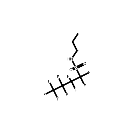 CC[CH]NS(=O)(=O)C(F)(F)C(F)(F)C(F)(F)C(F)(F)F